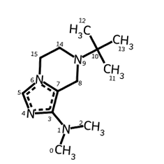 CN(C)c1ncn2c1CN(C(C)(C)C)CC2